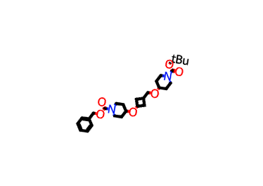 CC(C)(C)OC(=O)N1CCC(OCC2CC(OC3CCN(C(=O)OCc4ccccc4)CC3)C2)CC1